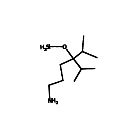 CC(C)C(CCCN)(O[SiH3])C(C)C